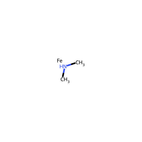 CNC.[Fe]